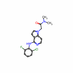 CN(C)C(=O)Cn1ccc2c(Nc3c(F)cccc3Cl)nccc21